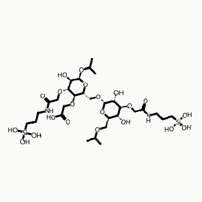 CC(C)OC[C@H]1O[C@H](OC[C@H]2O[C@H](OC(C)C)[C@H](O)[C@@H](OCC(=O)NCCC[Si](O)(O)O)[C@@H]2OCC(=O)O)[C@H](O)[C@@H](OCC(=O)NCCC[Si](O)(O)O)[C@@H]1O